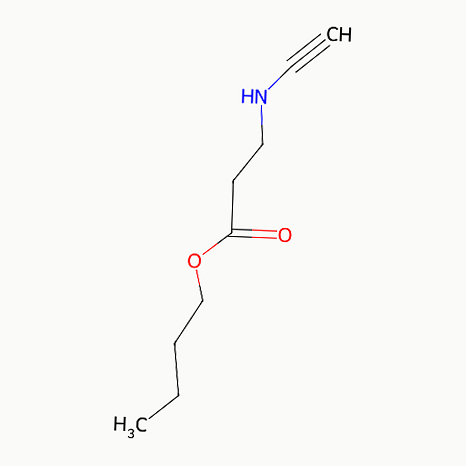 C#CNCCC(=O)OCCCC